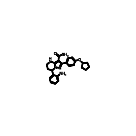 NC(=O)c1c(-c2ccc(OC3CCCC3)cc2)nn2c1NCCC2c1ccccc1N